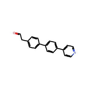 O=CCc1ccc(-c2ccc(-c3ccncc3)cc2)cc1